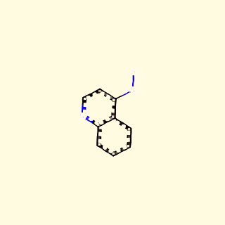 NNc1ccnc2ccccc12